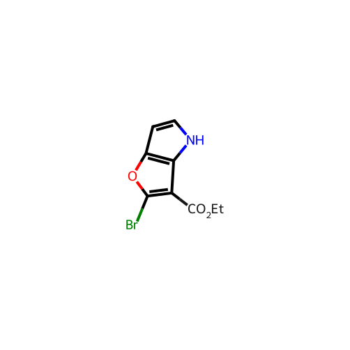 CCOC(=O)c1c(Br)oc2cc[nH]c12